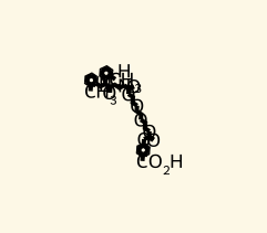 Cc1ccccc1CN(C(=O)CCNC(=O)OCCOCCOCCOC(=O)Oc1ccc(C(=O)O)cc1)c1ccccc1C